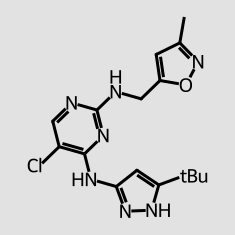 Cc1cc(CNc2ncc(Cl)c(Nc3cc(C(C)(C)C)[nH]n3)n2)on1